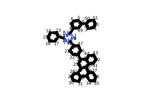 c1ccc(-c2cccc(-c3nc(-c4ccccc4)nc(-c4ccc(-c5cc6c7ccccc7c7ccccc7c6c6ccccc56)cc4)n3)c2)cc1